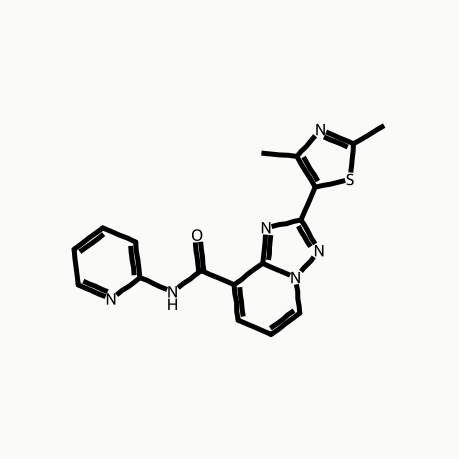 Cc1nc(C)c(-c2nc3c(C(=O)Nc4ccccn4)cccn3n2)s1